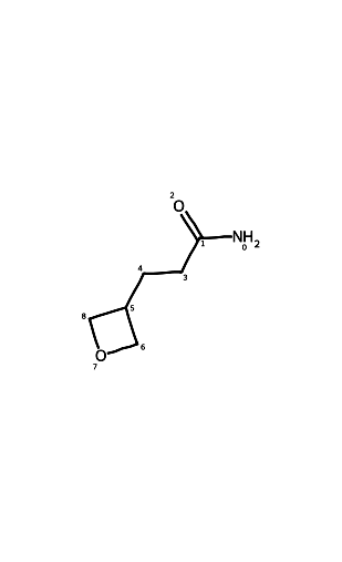 NC(=O)CCC1COC1